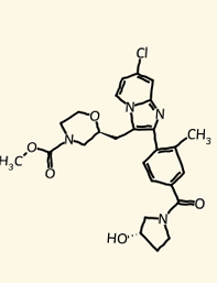 COC(=O)N1CCO[C@@H](Cc2c(-c3ccc(C(=O)N4CC[C@H](O)C4)cc3C)nc3cc(Cl)ccn23)C1